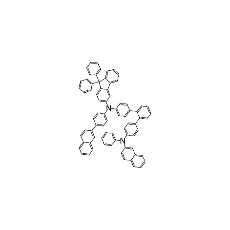 c1ccc(N(c2ccc(-c3ccccc3-c3ccc(N(c4ccc(-c5ccc6ccccc6c5)cc4)c4ccc5c(c4)-c4ccccc4C5(c4ccccc4)c4ccccc4)cc3)cc2)c2ccc3ccccc3c2)cc1